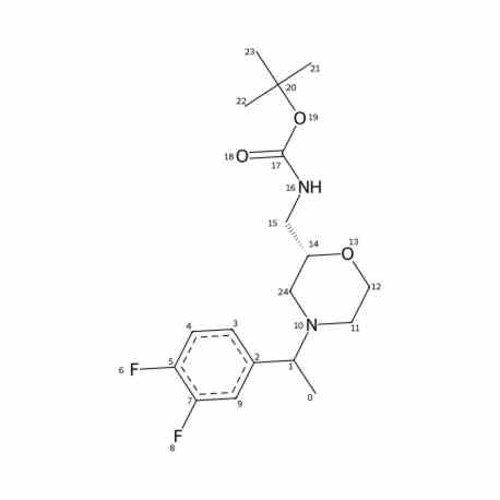 CC(c1ccc(F)c(F)c1)N1CCO[C@@H](CNC(=O)OC(C)(C)C)C1